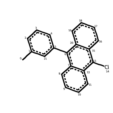 Cc1cccc(-c2c3ccccc3c(Cl)c3ccccc23)c1